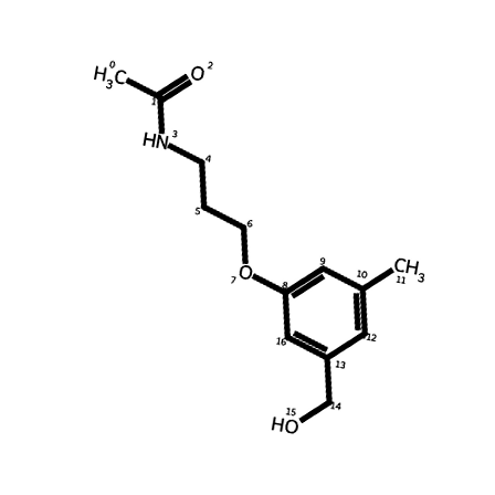 CC(=O)NCCCOc1cc(C)[c]c(CO)c1